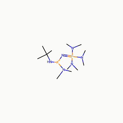 CN(C)P(N=P(N(C)C)(N(C)C)N(C)C)NC(C)(C)C